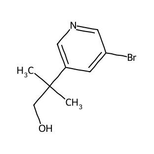 CC(C)(CO)c1cncc(Br)c1